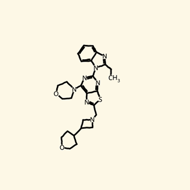 CCc1nc2ccccc2n1-c1nc(N2CCOCC2)c2nc(CN3CC(C4CCOCC4)C3)sc2n1